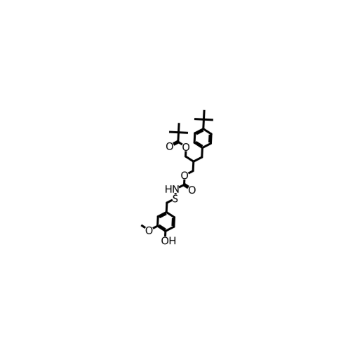 COc1cc(CSNC(=O)OCC(COC(=O)C(C)(C)C)Cc2ccc(C(C)(C)C)cc2)ccc1O